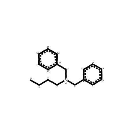 CCCC[Si](Cc1ccccc1)Cc1ccccc1